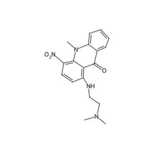 CN(C)CCNc1ccc([N+](=O)[O-])c2c1c(=O)c1ccccc1n2C